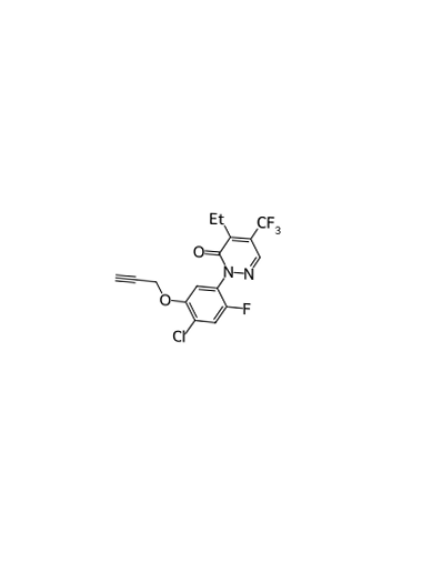 C#CCOc1cc(-n2ncc(C(F)(F)F)c(CC)c2=O)c(F)cc1Cl